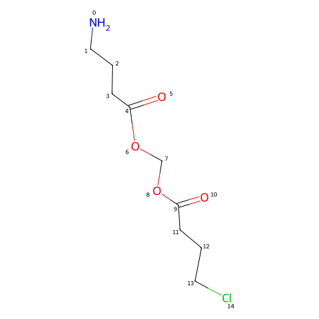 NCCCC(=O)OCOC(=O)CCCCl